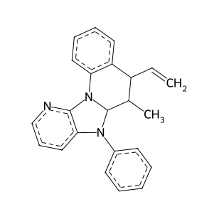 C=CC1c2ccccc2N2c3ncccc3N(c3ccccc3)C2C1C